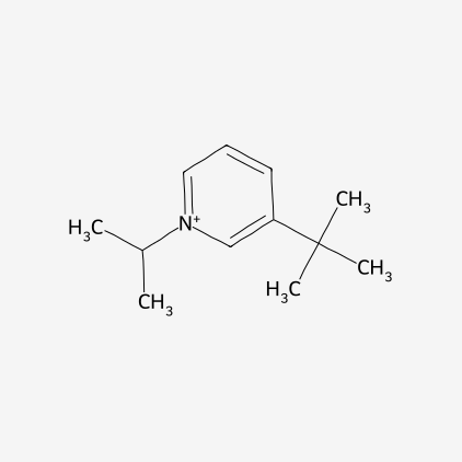 CC(C)[n+]1cccc(C(C)(C)C)c1